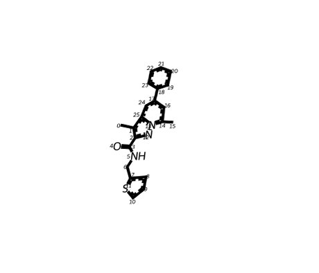 Cc1c(C(=O)NCc2cccs2)nn2c(C)cc(-c3ccccc3)cc12